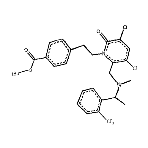 CC(c1ccccc1C(F)(F)F)N(C)Cc1c(Cl)cc(Cl)c(=O)n1CCc1ccc(C(=O)OC(C)(C)C)cc1